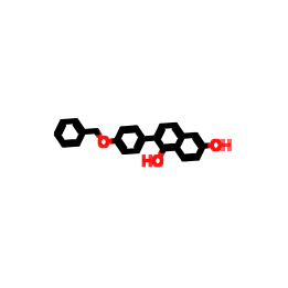 Oc1ccc2c(O)c(-c3ccc(OCc4ccccc4)cc3)ccc2c1